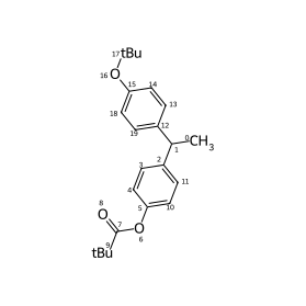 CC(c1ccc(OC(=O)C(C)(C)C)cc1)c1ccc(OC(C)(C)C)cc1